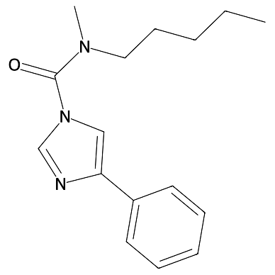 CCCCCN(C)C(=O)n1cnc(-c2ccccc2)c1